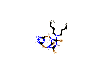 CCCCN(CCCC)C1(S)N=C(S)N2Sc3n[nH]c(n3)SN1C2S